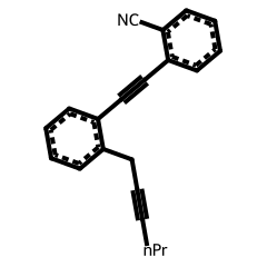 CCCC#CCc1ccccc1C#Cc1ccccc1C#N